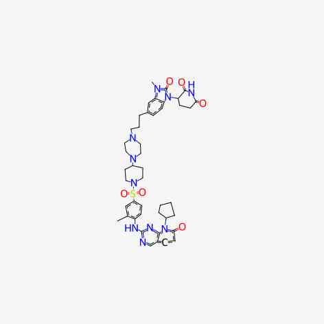 Cc1cc(S(=O)(=O)N2CCC(N3CCN(CCCc4ccc5c(c4)n(C)c(=O)n5C4CCC(=O)NC4=O)CC3)CC2)ccc1Nc1ncc2ccc(=O)n(C3CCCC3)c2n1